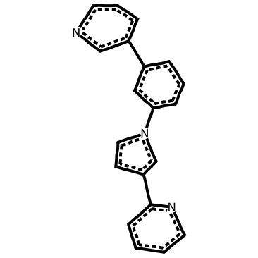 c1ccc(-c2ccn(-c3cccc(-c4cccnc4)c3)c2)nc1